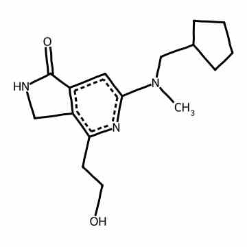 CN(CC1CCCC1)c1cc2c(c(CCO)n1)CNC2=O